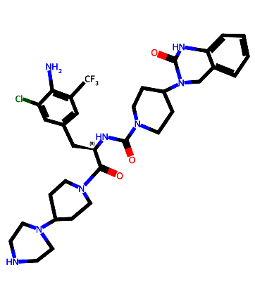 Nc1c(Cl)cc(C[C@@H](NC(=O)N2CCC(N3Cc4ccccc4NC3=O)CC2)C(=O)N2CCC(N3CCNCC3)CC2)cc1C(F)(F)F